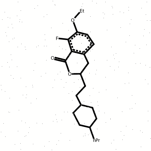 CCCC1CCC(CCC2Cc3ccc(OCC)c(F)c3C(=O)O2)CC1